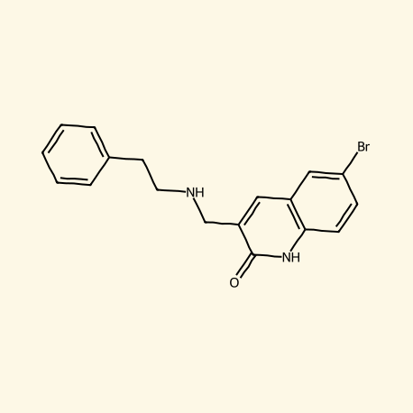 O=c1[nH]c2ccc(Br)cc2cc1CNCCc1ccccc1